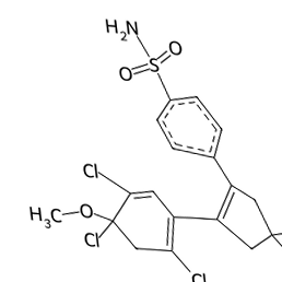 COC1(Cl)CC(Cl)=C(C2=C(c3ccc(S(N)(=O)=O)cc3)CC3(CC3)C2)C=C1Cl